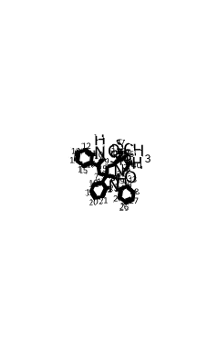 CN1C(=O)C23CC4(Cc5c[nH]c6ccccc56)c5ccccc5N(c5ccccc5)[C@@H]4N2C(=O)[C@H]1SC(=S)S3